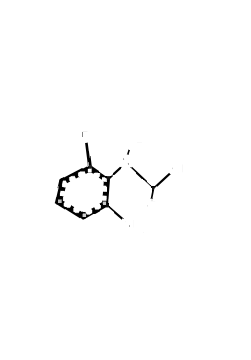 CC(C)N(C)c1c(N)cccc1F